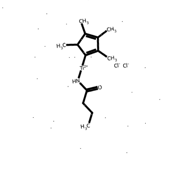 CCCC(=O)[NH][Ti+2][C]1=C(C)C(C)=C(C)C1C.[Cl-].[Cl-]